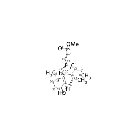 C/C=C(/C)[C@@H]1C(C)=C[C@@H]2[C@H]([C@@H]1/C=C/C=C/C(=O)OC)[C@@H](C)CC[C@@H]2O